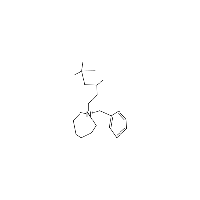 CC(CC[N+]1(Cc2ccccc2)CCCCCC1)CC(C)(C)C